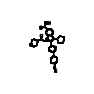 N#Cc1ccc(-c2ccc(-c3c(C4CCCCC4)c4ccc(C(=O)O)cc4n3CC(=O)N3CCOCC3)cc2)cc1